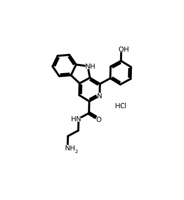 Cl.NCCNC(=O)c1cc2c([nH]c3ccccc32)c(-c2cccc(O)c2)n1